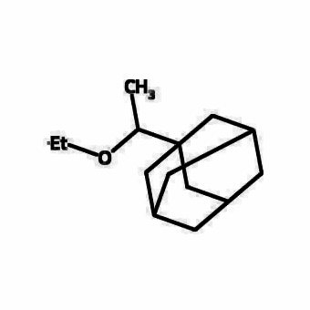 C[CH]OC(C)C12CC3CC(CC(C3)C1)C2